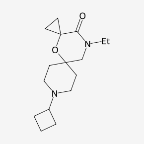 CCN1CC2(CCN(C3CCC3)CC2)OC2(CC2)C1=O